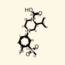 CC(C)C1CN(c2ccc(F)c(S(C)(=O)=O)c2)CCN1C(=O)O